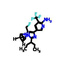 CCC(CC)c1nc(-c2cnc(N)c(C(F)(F)F)c2)cn1[C@@]12C3[C@H]1[C@H]2CN3CCF